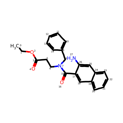 CCOC(=O)CCN(Cc1ccccc1)C(=O)c1cc2ccccc2cc1N